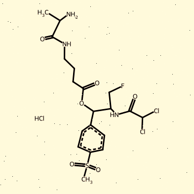 CC(N)C(=O)NCCCC(=O)OC(c1ccc(S(C)(=O)=O)cc1)C(CF)NC(=O)C(Cl)Cl.Cl